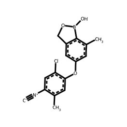 [C-]#[N+]c1cc(Cl)c(Oc2cc(C)c3c(c2)COB3O)cc1C